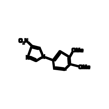 COc1[c]cc(-n2cnc([N+](=O)[O-])c2)cc1OC